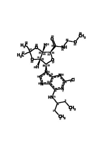 CCC(CC)Nc1nc(Cl)nc2c1ncn2[C@@H]1O[C@H](C(=O)NCOC)[C@H]2OC(C)(C)O[C@H]21